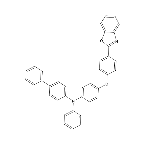 c1ccc(-c2ccc(N(c3ccccc3)c3ccc(Oc4ccc(-c5nc6ccccc6o5)cc4)cc3)cc2)cc1